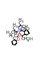 CC(C)CN(CC(C)C)C(C)(C)c1ccccc1C(C)OC(C)Oc1ccccc1.Cl